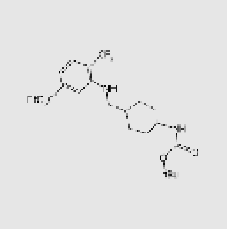 CCOC(=O)c1ccc(C(F)(F)F)c(NCC2CCC(NC(=O)OC(C)(C)C)CC2)c1